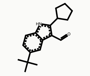 CC(C)(C)c1ccc2[nH]c(C3CCCC3)c(C=O)c2c1